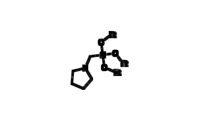 CCO[Si](CN1CCCC1)(OCC)OCC